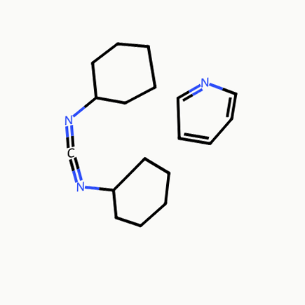 C(=NC1CCCCC1)=NC1CCCCC1.c1ccncc1